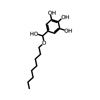 CCCCCCCCOC(O)c1cc(O)c(O)c(O)c1